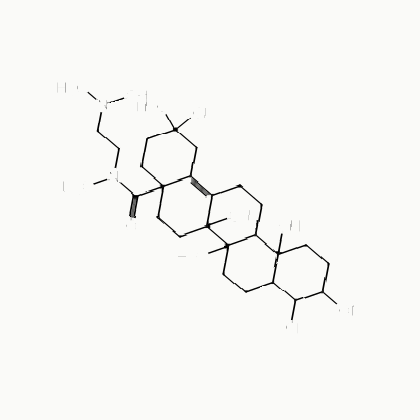 CC1C(O)CCC2(C)C1CCC1(C)C2CCC2=C3CC(C)(C)CCC3(C(=O)N(C)CCN(C)C)CCC21C